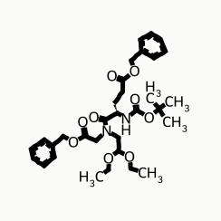 CCOC(CN(CC(=O)OCc1ccccc1)C(=O)[C@H](CCC(=O)OCc1ccccc1)NC(=O)OC(C)(C)C)OCC